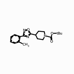 Cc1ccccc1-c1noc(C2CCN(C(=O)OC(C)(C)C)CC2)n1